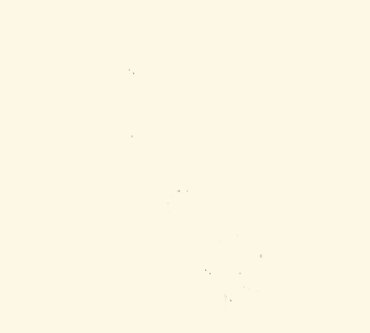 O=c1[nH]cnc(C2(Cc3ccc(C#Cc4ccc(CNC5CCOC5)cc4)cc3)CC2)c1O